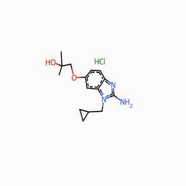 CC(C)(O)COc1ccc2nc(N)n(CC3CC3)c2c1.Cl